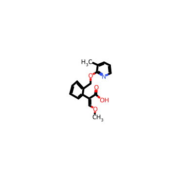 COC=C(C(=O)O)c1ccccc1COc1ncccc1C